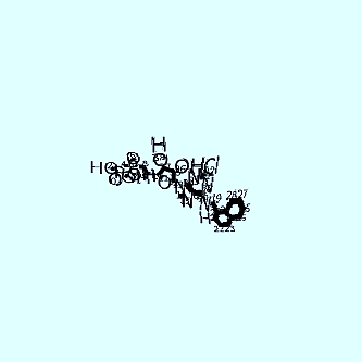 O=P(O)(O)CP(=O)(O)CC[C@H]1O[C@@H](n2cnc3c(NCc4cccc5ccccc45)nc(Cl)nc32)C(O)[C@H]1O